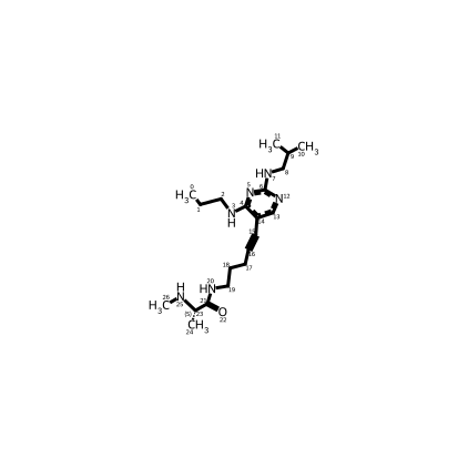 CCCNc1nc(NCC(C)C)ncc1C#CCCCNC(=O)[C@H](C)NC